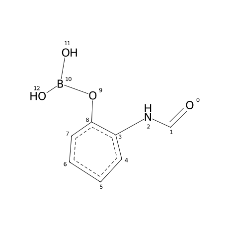 O=CNc1ccccc1OB(O)O